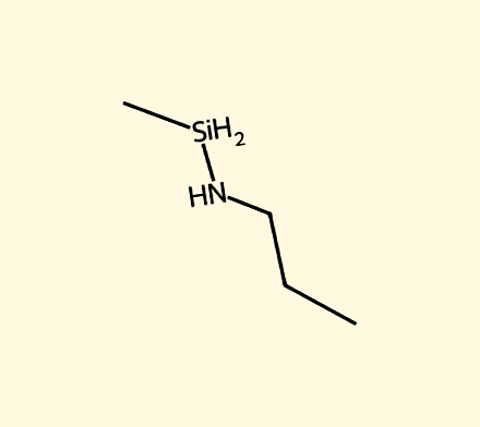 CCCN[SiH2]C